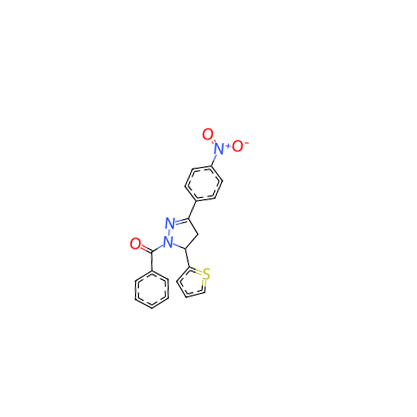 O=C(c1ccccc1)N1N=C(c2ccc([N+](=O)[O-])cc2)CC1c1cccs1